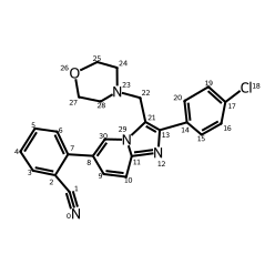 N#Cc1ccccc1-c1ccc2nc(-c3ccc(Cl)cc3)c(CN3CCOCC3)n2c1